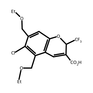 CCOCc1cc2c(c(COCC)c1Cl)C=C(C(=O)O)C(C(F)(F)F)O2